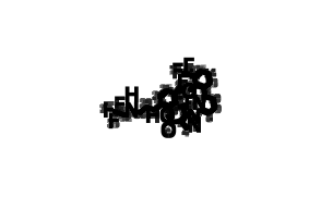 O=C(O)c1cnn(-c2cccc(-c3cccc(C(F)(F)F)c3OCc3ccc(CCCNCC(F)(F)F)cc3)n2)c1C(F)(F)F